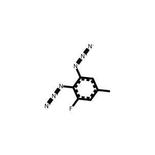 Cc1cc(F)c(N=[N+]=[N-])c(N=[N+]=[N-])c1